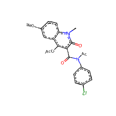 COc1ccc2c(c1)c(OC(C)=O)c(C(=O)N(C(C)=O)c1ccc(Cl)cc1)c(=O)n2C